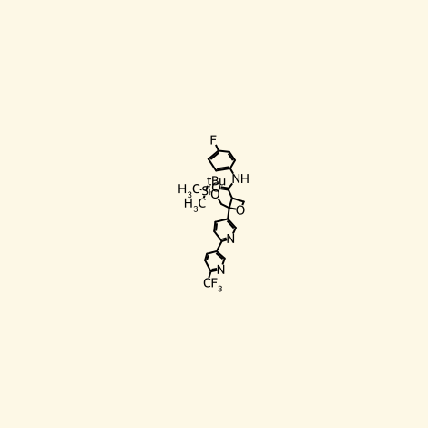 CC(C)(C)[Si](C)(C)OCC1(c2ccc(-c3ccc(C(F)(F)F)nc3)nc2)OCC1C(=O)Nc1ccc(F)cc1